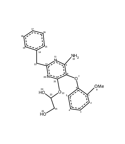 COc1ccccc1Oc1c(N)nc(Cc2ccccc2)nc1OC(O)CO